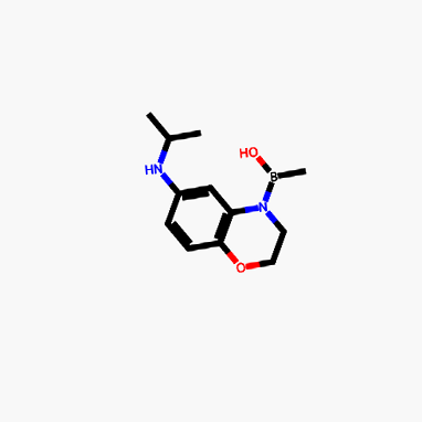 CB(O)N1CCOc2ccc(NC(C)C)cc21